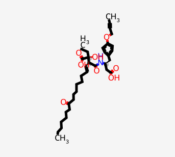 CC#CCOc1ccc(C[C@@H](CC(=O)O)NC(=O)[C@@H](C=CCCCCCCC(=O)CCCCCCC)[C@@](O)(CCC)C(=O)O)cc1